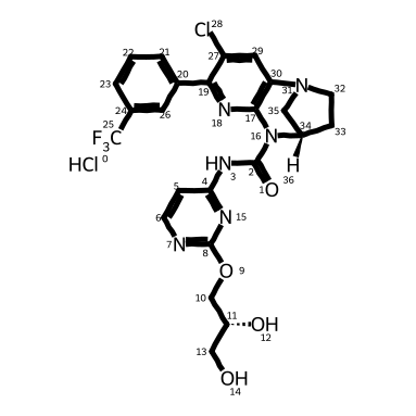 Cl.O=C(Nc1ccnc(OC[C@H](O)CO)n1)N1c2nc(-c3cccc(C(F)(F)F)c3)c(Cl)cc2N2CC[C@H]1C2